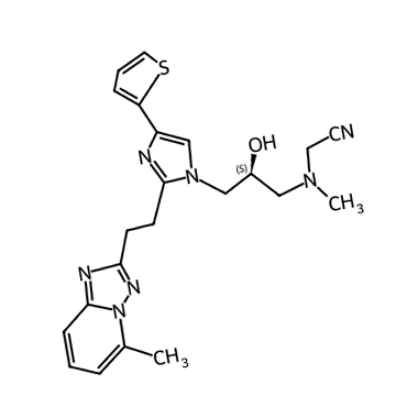 Cc1cccc2nc(CCc3nc(-c4cccs4)cn3C[C@@H](O)CN(C)CC#N)nn12